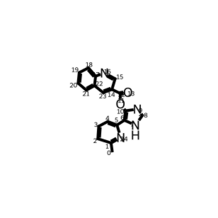 Cc1cccc(-c2[nH]cnc2OC(=O)c2cnc3ccccc3c2)n1